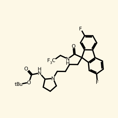 CC(C)(C)OC(=O)NC1CCCN1CCCCC1(C(=O)NCC(F)(F)F)c2cc(F)ccc2-c2ccc(F)cc21